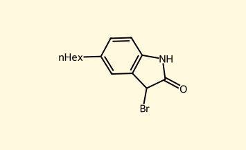 CCCCCCc1ccc2c(c1)C(Br)C(=O)N2